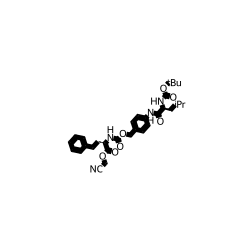 CC(C)C[C@H](NC(=O)OC(C)(C)C)C(=O)Nc1ccc(COC(=O)N[C@@H](CCc2ccccc2)C(=O)OCC#N)cc1